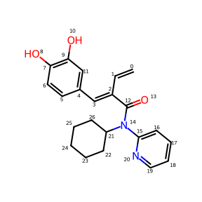 C=C/C(=C\c1ccc(O)c(O)c1)C(=O)N(c1ccccn1)C1CCCCC1